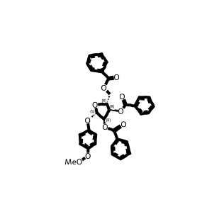 COOc1ccc(O[C@@H]2O[C@H](COC(=O)c3ccccc3)[C@@H](OC(=O)c3ccccc3)[C@H]2OC(=O)c2ccccc2)cc1